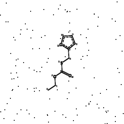 CCOC(=O)SCc1ccco1